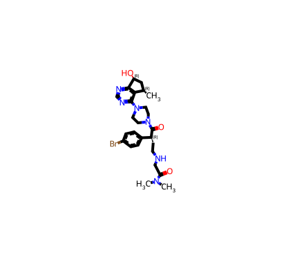 C[C@@H]1C[C@@H](O)c2ncnc(N3CCN(C(=O)[C@H](CCNCC(=O)N(C)C)c4ccc(Br)cc4)CC3)c21